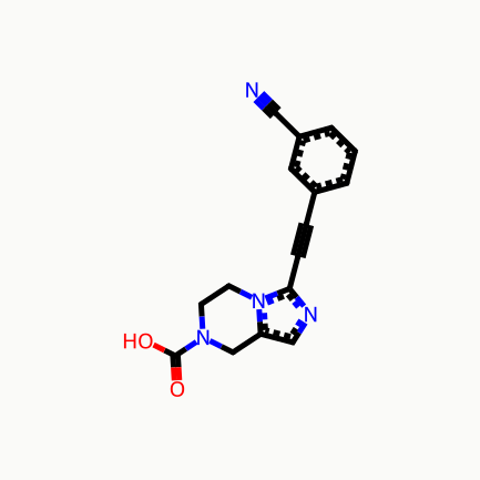 N#Cc1cccc(C#Cc2ncc3n2CCN(C(=O)O)C3)c1